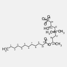 CCCCCCCCCCCC(=O)OC(C)CC[N+](C)(C)CC(O)CS(=O)(=O)[O-]